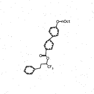 CCCCCCCCOc1ccc(-c2ccc(C(=O)OC(CCc3ccccc3)C(F)(F)F)cc2)cc1